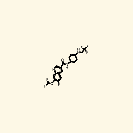 O=C(NC1CCC(NCC(F)(F)F)CC1)c1cnc2cc(OC(F)F)c(F)cc2c1